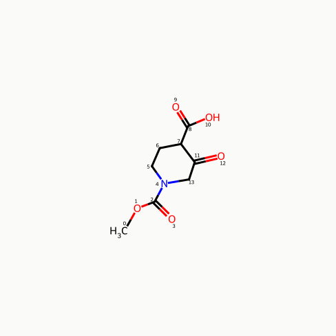 COC(=O)N1CCC(C(=O)O)C(=O)C1